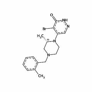 Cc1ccccc1CN1CCN(c2cn[nH]c(=O)c2Br)[C@@H](C)C1